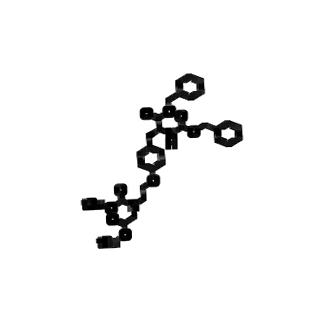 CC(C)(C)OC(=O)CN(CCOc1ccc(C[C@H](NC(=O)OCc2ccccc2)C(=O)OCc2ccccc2)cc1)C(=O)OC(C)(C)C